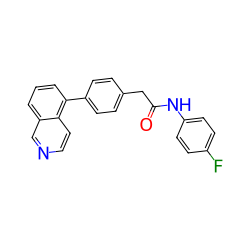 O=C(Cc1ccc(-c2cccc3cnccc23)cc1)Nc1ccc(F)cc1